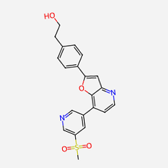 CS(=O)(=O)c1cncc(-c2ccnc3cc(-c4ccc(CCO)cc4)oc23)c1